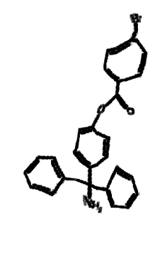 NC(c1ccccc1)(c1ccccc1)c1ccc(OC(=O)c2ccc(Br)cc2)cc1